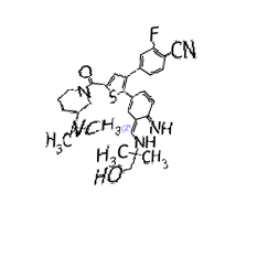 CN(C)C1CCCN(C(=O)c2cc(-c3ccc(C#N)c(F)c3)c(C3=C/C(=C/NC(C)(C)CO)C(=N)C=C3)s2)C1